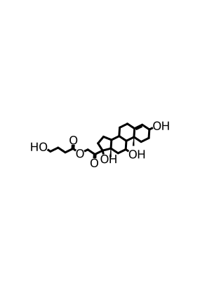 C[C@]12CCC(O)C=C1CCC1C2C(O)C[C@@]2(C)C1CCC2(O)C(=O)COC(=O)CCCO